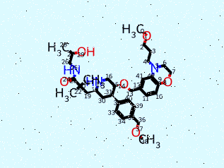 COCCCN1CCOc2ccc(CO[C@H]3CN[C@H](CC(C)(C)C(=O)NCC(C)O)C[C@@H]3c3ccc(COC)cc3)cc21